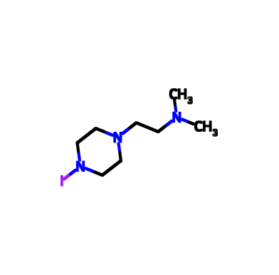 CN(C)CCN1CCN(I)CC1